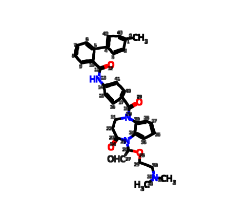 Cc1ccc(-c2ccccc2C(=O)Nc2ccc(C(=O)N3CCC(=O)N(C(C=O)OCCN(C)C)c4ccccc43)cc2)cc1